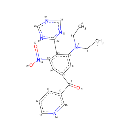 CCN(CC)c1cc(C(=O)c2cccnc2)cc([N+](=O)[O-])c1-c1ncncn1